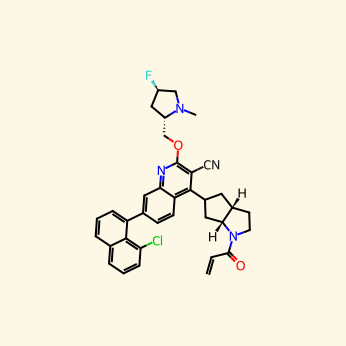 C=CC(=O)N1CC[C@H]2CC(c3c(C#N)c(OC[C@@H]4C[C@@H](F)CN4C)nc4cc(-c5cccc6cccc(Cl)c56)ccc34)C[C@H]21